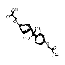 CC(C)(c1ccc(OCC(=O)O)cc1)c1ccc(OCC(=O)O)cc1